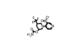 NC(=O)OC1CC(C(F)(F)F)CN(c2ccncc2[N+](=O)[O-])C1